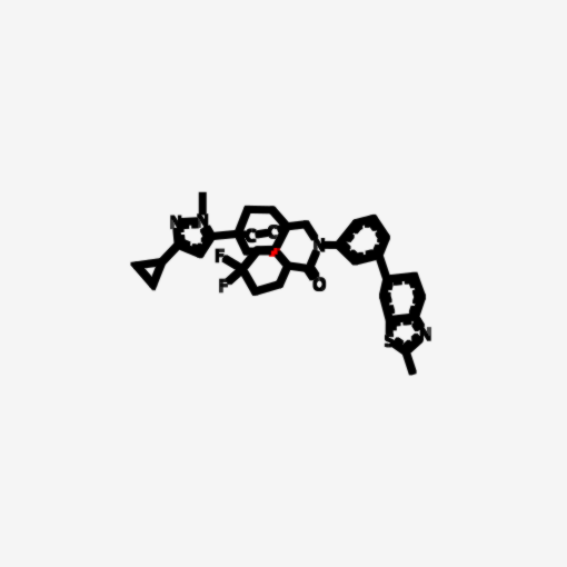 Cc1nc2ccc(-c3cccc(N(CC45CCC(c6cc(C7CC7)nn6C)(CC4)CC5)C(=O)C4CCC(F)(F)CC4)c3)cc2s1